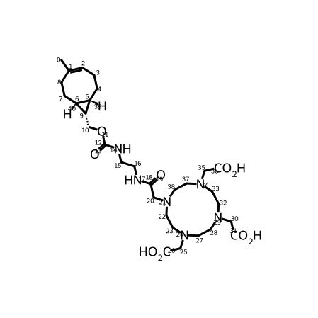 C/C1=C/CC[C@H]2[C@@H](CC1)[C@H]2COC(=O)NCCNC(=O)CN1CCN(CC(=O)O)CCN(CC(=O)O)CCN(CC(=O)O)CC1